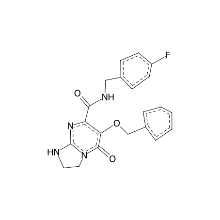 O=C(NCc1ccc(F)cc1)c1nc2n(c(=O)c1OCc1ccccc1)CCN2